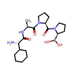 C[C@H](NC(=O)[C@@H](N)C1CCCCC1)C(=O)N1CCC[C@H]1C(=O)N1CCC[C@H]1B(O)O